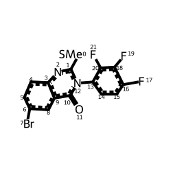 CSc1nc2ccc(Br)cc2c(=O)n1-c1ccc(F)c(F)c1F